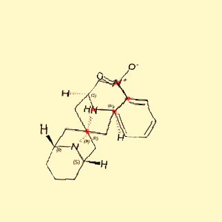 O=[N+]([O-])c1ccccc1N[C@H]1C[C@H]2CCC[C@@H](C1)N2[C@H]1C[C@@H]2CCC[C@@H](C2)C1